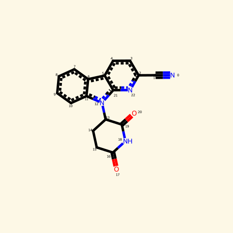 N#Cc1ccc2c3ccccc3n(C3CCC(=O)NC3=O)c2n1